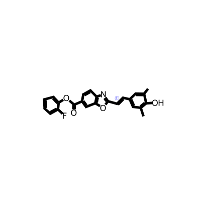 Cc1cc(/C=C/c2nc3ccc(C(=O)Oc4ccccc4F)cc3o2)cc(C)c1O